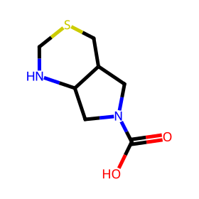 O=C(O)N1CC2CSCNC2C1